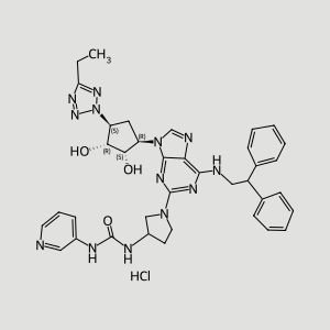 CCc1nnn([C@H]2C[C@@H](n3cnc4c(NCC(c5ccccc5)c5ccccc5)nc(N5CCC(NC(=O)Nc6cccnc6)C5)nc43)[C@H](O)[C@@H]2O)n1.Cl